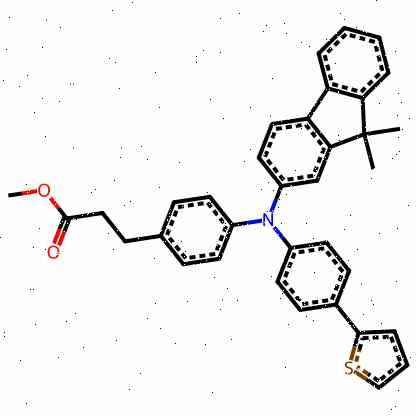 COC(=O)CCc1ccc(N(c2ccc(-c3cccs3)cc2)c2ccc3c(c2)C(C)(C)c2ccccc2-3)cc1